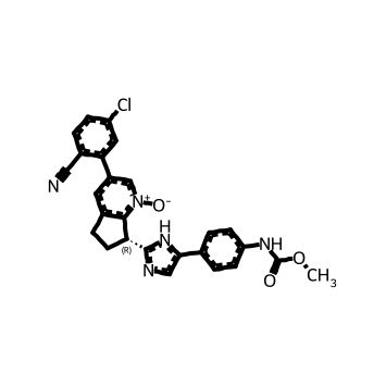 COC(=O)Nc1ccc(-c2cnc([C@@H]3CCc4cc(-c5cc(Cl)ccc5C#N)c[n+]([O-])c43)[nH]2)cc1